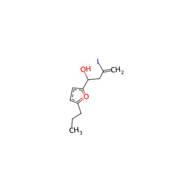 C=C(I)CC(O)c1ccc(CCC)o1